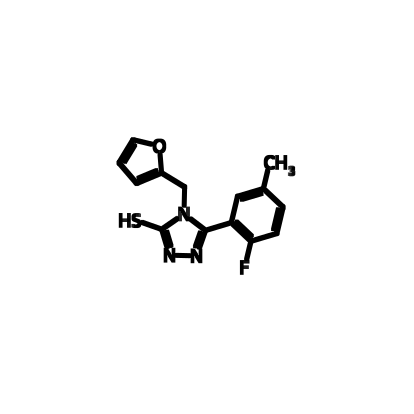 Cc1ccc(F)c(-c2nnc(S)n2Cc2ccco2)c1